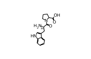 N[C@H](Cc1c[nH]c2ccccc12)C(=O)N1CCCC1C(=O)O